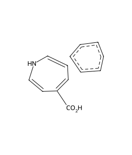 O=C(O)C1=CC=CNC=C1.c1ccccc1